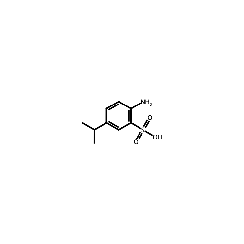 CC(C)c1ccc(N)c(S(=O)(=O)O)c1